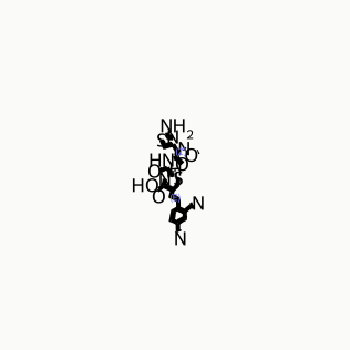 CO/N=C(\C(=O)NC1C(=O)N2C(C(=O)O)=C(/C=C/c3ccc(C#N)cc3C#N)CS[C@H]12)c1csc(N)n1